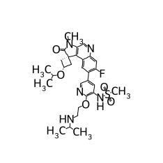 CC(C)NCCOc1ncc(-c2cc3c(cc2F)ncc2c3[C@]3(C[C@@H](OC(C)C)C3)C(=O)N2C)cc1NS(C)(=O)=O